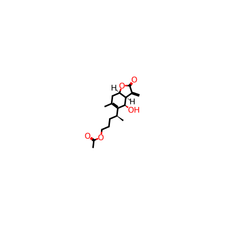 C=C1C(=O)O[C@@H]2CC(C)=C([C@@H](C)CCCOC(C)=O)[C@H](O)[C@H]12